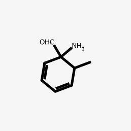 CC1C=CC=CC1(N)C=O